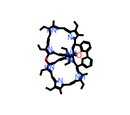 CCC1=C(C)c2cc3[nH]c(c(C)c3CC)c(C3=CC=CC4c5cccc(-c6c7nc(cc8[nH]c(cc9nc(cc%10[nH]c6c(C)c%10CC)C(C)=C9CC)c(CC)c8C)C(CC)=C7C)c5OC34)c3nc(cc4[nH]c(cc1n2)c(CC)c4C)C(CC)=C3C